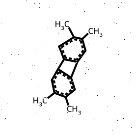 Cc1cc2c(cc1C)-c1cc(C)c(C)cc1-2